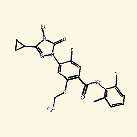 CCn1c(C2CC2)nn(-c2cc(OCC(F)(F)F)c(C(=O)Nc3c(C)cccc3F)cc2F)c1=O